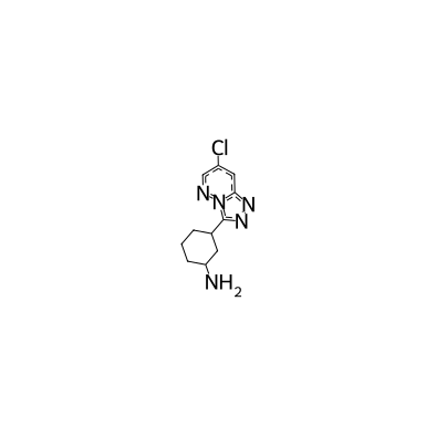 NC1CCCC(c2nnc3cc(Cl)cnn23)C1